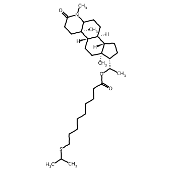 CC(C)SCCCCCCCCC(=O)OC(C)[C@H]1CC[C@H]2[C@@H]3CCC4N(C)C(=O)CC[C@]4(C)[C@H]3CC[C@]12C